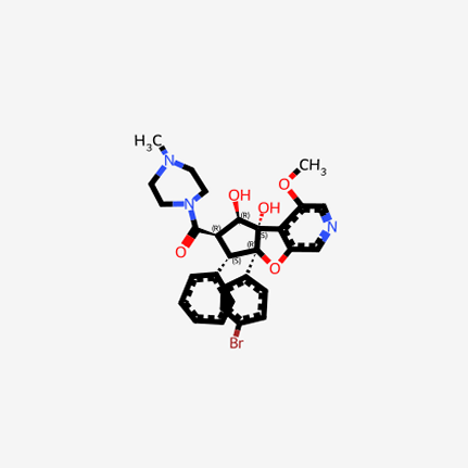 COc1cncc2c1[C@]1(O)[C@H](O)[C@H](C(=O)N3CCN(C)CC3)[C@@H](c3ccccc3)[C@]1(c1ccc(Br)cc1)O2